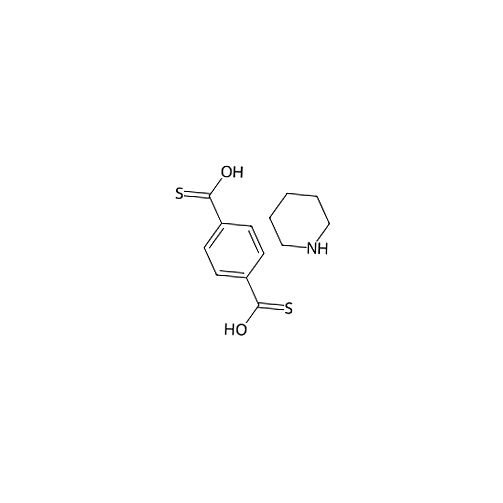 C1CCNCC1.OC(=S)c1ccc(C(O)=S)cc1